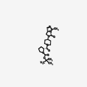 Cc1ncc2n1C(=O)N(C1CCN(C(=O)[C@H]3CCCN3C(=O)OC(C)(C)C)CC1)C2